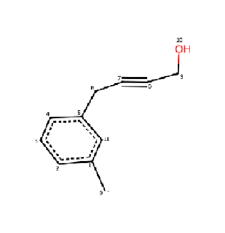 [CH2]c1cccc(CC#CCO)c1